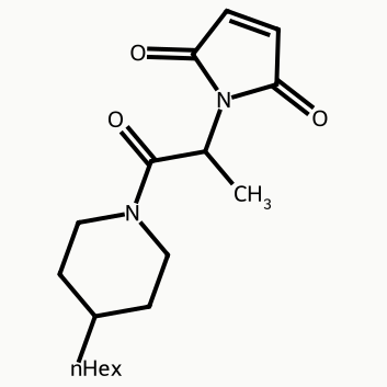 CCCCCCC1CCN(C(=O)C(C)N2C(=O)C=CC2=O)CC1